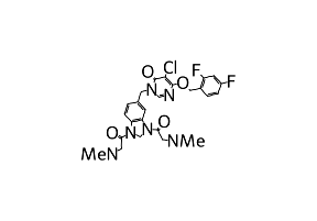 CNCC(=O)N1CN(C(=O)CNC)c2cc(Cn3cnc(OCc4ccc(F)cc4F)c(Cl)c3=O)ccc21